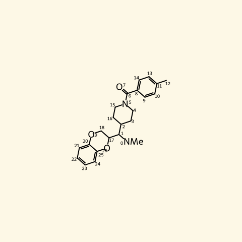 CNC(C1CCN(C(=O)c2ccc(C)cc2)CC1)C1COc2ccccc2O1